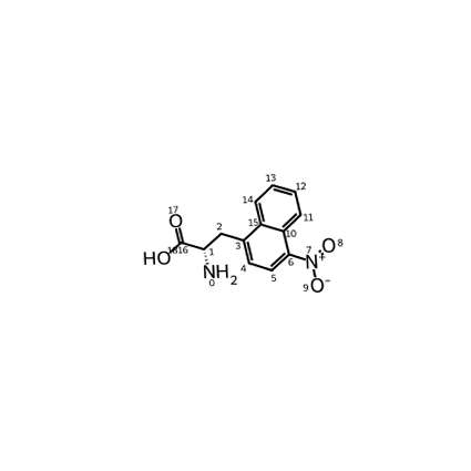 N[C@@H](Cc1ccc([N+](=O)[O-])c2ccccc12)C(=O)O